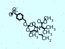 C=CC[C@@H]1[C@@H]([C@@H](C)OC(=O)OCc2ccc([N+](=O)[O-])cc2)C(=O)N1C(C(=O)OC)=C(C)C